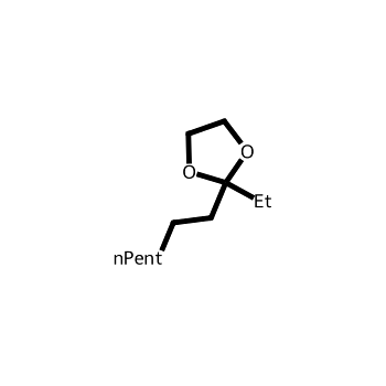 CCCCCCCC1(CC)OCCO1